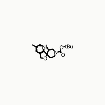 Cc1cnc2c(c1)COC21CCN(C(=O)OC(C)(C)C)CC1I